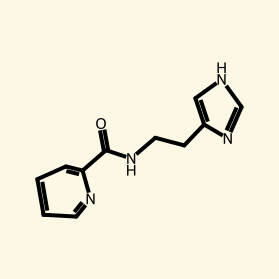 O=C(NCCc1c[nH]cn1)c1ccccn1